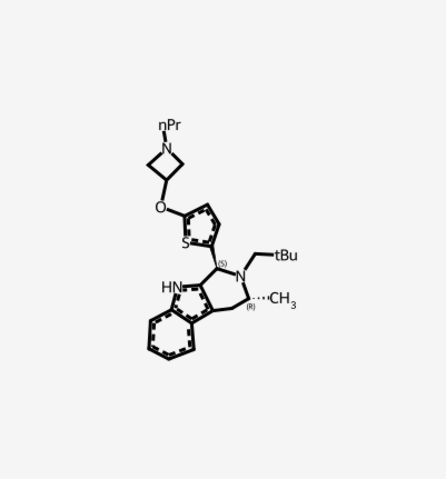 CCCN1CC(Oc2ccc([C@@H]3c4[nH]c5ccccc5c4C[C@@H](C)N3CC(C)(C)C)s2)C1